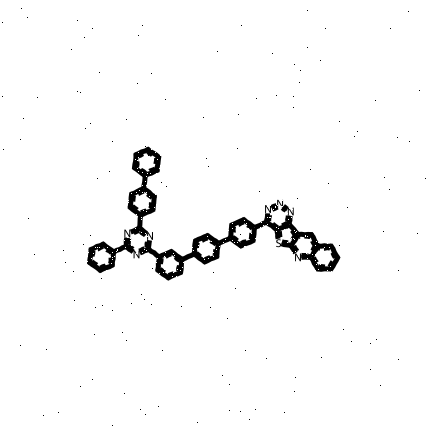 c1ccc(-c2ccc(-c3nc(-c4ccccc4)nc(-c4cccc(-c5ccc(-c6ccc(-c7nnnc8c7sc7nc9ccccc9cc78)cc6)cc5)c4)n3)cc2)cc1